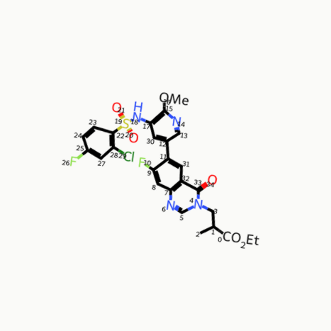 CCOC(=O)C(C)Cn1cnc2cc(F)c(-c3cnc(OC)c(NS(=O)(=O)c4ccc(F)cc4Cl)c3)cc2c1=O